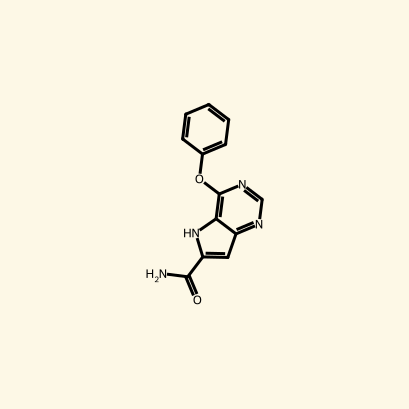 NC(=O)c1cc2ncnc(Oc3ccccc3)c2[nH]1